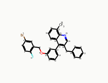 Fc1ccc(Br)cc1COc1cccc(-c2c(Cc3ccccc3)cnc3c(C(F)(F)F)cccc23)c1